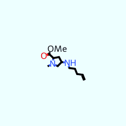 C=CCCCNC1CC(C(=O)OC)N(C)C1